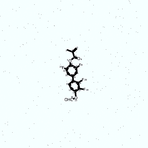 C=C(C)C(=O)Oc1c(F)cc(-c2ccc(OC=O)c(F)c2F)cc1F